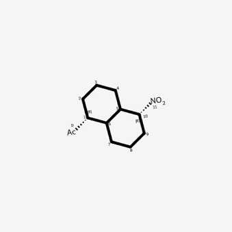 CC(=O)[C@@H]1CCCC2C1CCC[C@H]2[N+](=O)[O-]